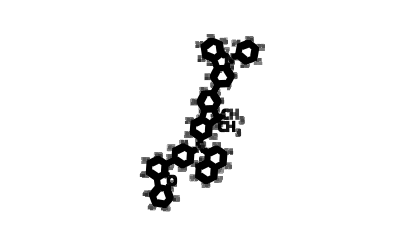 CC1(C)c2cc(-c3ccc4c(c3)c3ccccc3n4-c3ccccc3)ccc2-c2ccc(N(c3ccc(-c4cccc5c4oc4ccccc45)cc3)c3cccc4ccccc34)cc21